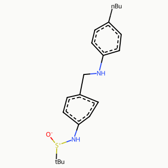 CCCCc1ccc(NCc2ccc(N[S+]([O-])C(C)(C)C)cc2)cc1